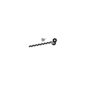 CCCCCCCCCCCCCCCC[n+]1cccc2ccccc21.[Br-]